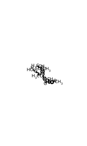 COc1ccc2cc(C(=O)N3CCN(C(=O)CN4C[C@H](C)N(C(=O)OC(C)(C)C)C[C@@H]4CN(C)CCOCCO)CC3)n(C)c2c1